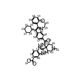 COC(=O)c1ccc2nc(C3(NC(=O)c4ccc5c(C6CCCCC6)c6n(c5c4)CCOc4ccccc4-6)CCN(C)CC3)[nH]c2c1